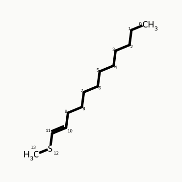 CCCCCCCCCC/C=C/SC